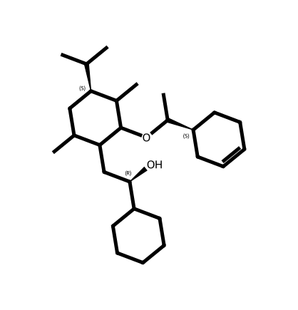 CC1C[C@@H](C(C)C)C(C)C(OC(C)[C@@H]2CC=CCC2)C1C[C@@H](O)C1CCCCC1